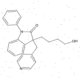 O=C1N(c2ccccc2)c2ccccc2C1(CCCCO)Cc1ccncc1